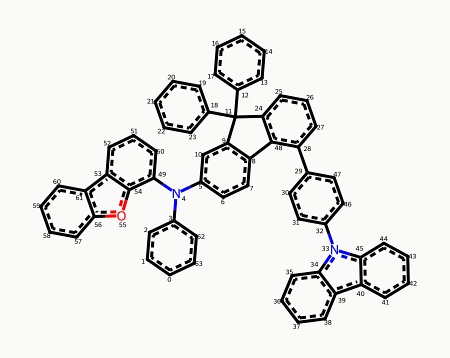 c1ccc(N(c2ccc3c(c2)C(c2ccccc2)(c2ccccc2)c2cccc(-c4ccc(-n5c6ccccc6c6ccccc65)cc4)c2-3)c2cccc3c2oc2ccccc23)cc1